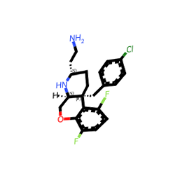 NCC[C@@H]1CC[C@@]2(Cc3ccc(Cl)cc3)c3c(F)ccc(F)c3OC[C@H]2N1